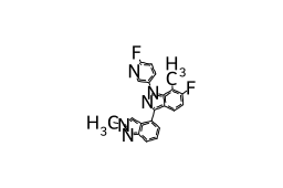 Cc1c(F)ccc2c(-c3cccc4nn(C)cc34)nn(-c3ccc(F)nc3)c12